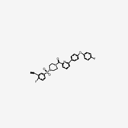 C#Cc1cc(S(=O)(=O)N2CCN(C(=O)c3cccc(-c4ccc(Oc5ccc(F)cc5)cc4)n3)CC2)ccc1F